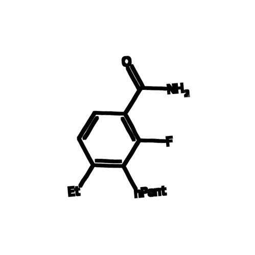 CCCCCc1c(CC)ccc(C(N)=O)c1F